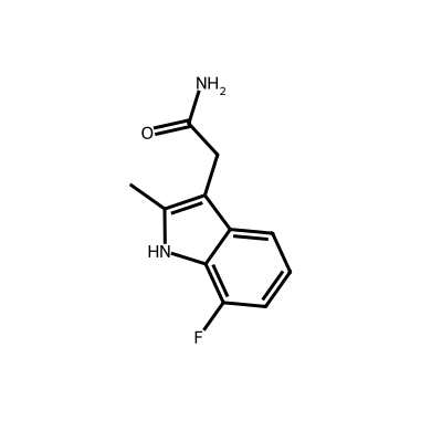 Cc1[nH]c2c(F)cccc2c1CC(N)=O